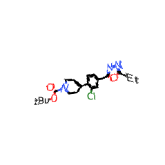 CCc1nnc(-c2ccc(C3=CCN(C(=O)OC(C)(C)C)CC3)c(Cl)c2)o1